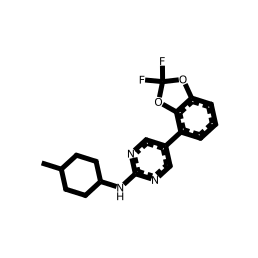 CC1CCC(Nc2ncc(-c3cccc4c3OC(F)(F)O4)cn2)CC1